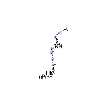 C=C(CCC)CSNC(C)CSC/C=C(\C)CC/C=C(\C)CC/C=C(C)/C=C(/C)CSNC(CSC/C=C(\C)CC/C=C(\C)CCC=C(C)C)C(=C)C